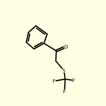 O=C(CSC(F)(F)F)c1ccccc1